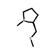 CSCC1CCCN1C